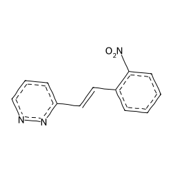 O=[N+]([O-])c1ccccc1C=Cc1cccnn1